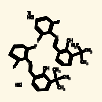 CC(C)(C)c1cccc(C=Nc2c(F)cccc2F)c1O.CC(C)(C)c1cccc(C=Nc2c(F)cccc2F)c1O.Cl.Cl.[Ti]